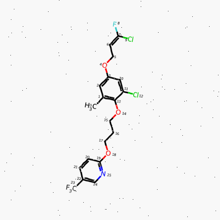 Cc1cc(OCC=C(F)Cl)cc(Cl)c1OCCCOc1ccc(C(F)(F)F)cn1